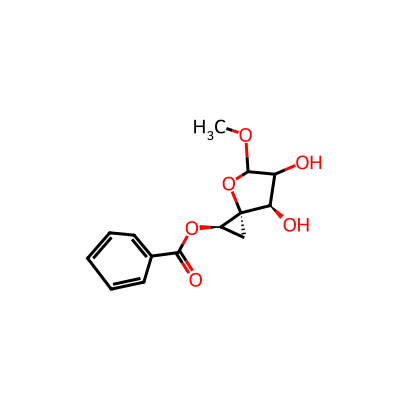 COC1O[C@@]2(C[C@H]2OC(=O)c2ccccc2)[C@H](O)C1O